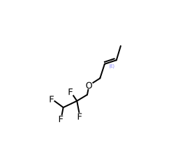 C/C=C/COCC(F)(F)C(F)F